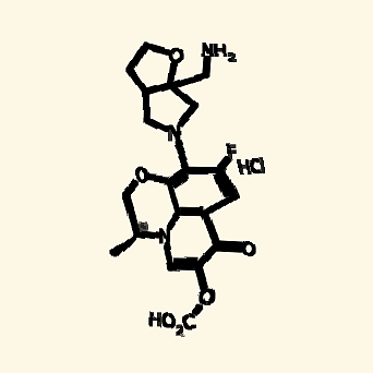 C[C@H]1COc2c(N3CC4CCOC4(CN)C3)c(F)cc3c(=O)c(OC(=O)O)cn1c23.Cl